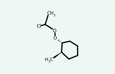 CC(Cl)OO[C@@H]1CCCC[C@H]1C